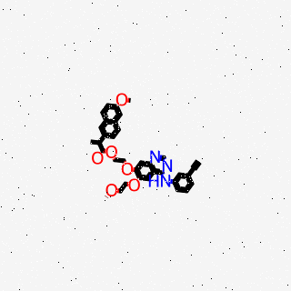 C#Cc1cccc(Nc2ncnc3cc(OCCOC(=O)C(C)c4ccc5cc(OC)ccc5c4)c(OCCOC)cc23)c1